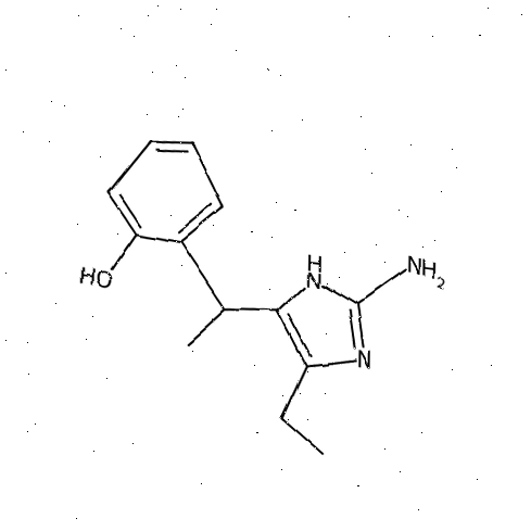 CCc1nc(N)[nH]c1C(C)c1ccccc1O